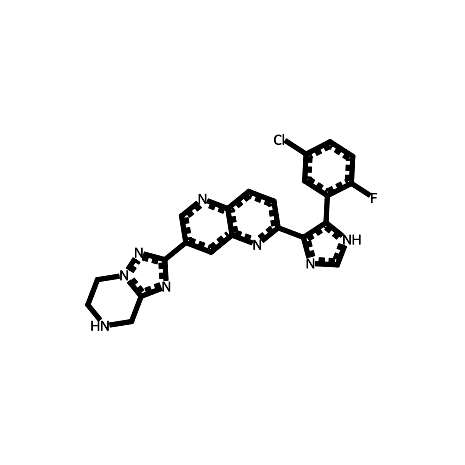 Fc1ccc(Cl)cc1-c1[nH]cnc1-c1ccc2ncc(-c3nc4n(n3)CCNC4)cc2n1